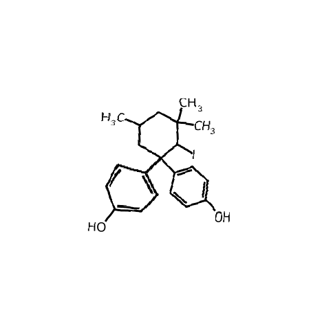 CC1CC(C)(C)C(I)C(c2ccc(O)cc2)(c2ccc(O)cc2)C1